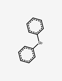 c1cc[c]([Sb][c]2ccccc2)cc1